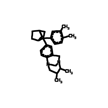 Cc1ccc(C2(c3ccc4c(c3)CN3CN4CC(C)C3C)CC3CCC2C3)cc1C